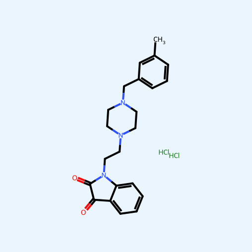 Cc1cccc(CN2CCN(CCN3C(=O)C(=O)c4ccccc43)CC2)c1.Cl.Cl